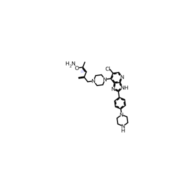 C=C(/C=C(/C)ON)CN1CCN(c2c(Cl)cnc3[nH]c(-c4ccc(N5CCNCC5)cc4)nc23)CC1